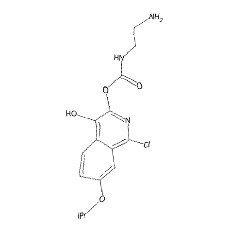 CC(C)Oc1ccc2c(O)c(OC(=O)NCCN)nc(Cl)c2c1